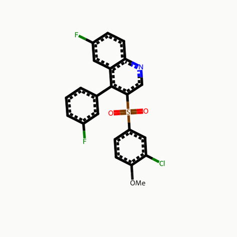 COc1ccc(S(=O)(=O)c2cnc3ccc(F)cc3c2-c2cccc(F)c2)cc1Cl